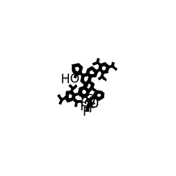 CC(C)c1cc(C(C)C)c(-c2ccc3c(-c4ccccc4O)cc4c5cc(-c6c(C(C)C)cc(C(C)C)cc6C(C)C)ccc5c(-c5ccccc5OS(=O)(=O)C(F)(F)F)cc4c3c2)c(C(C)C)c1